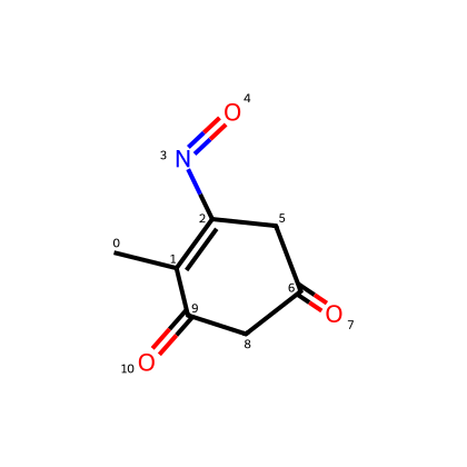 CC1=C(N=O)CC(=O)CC1=O